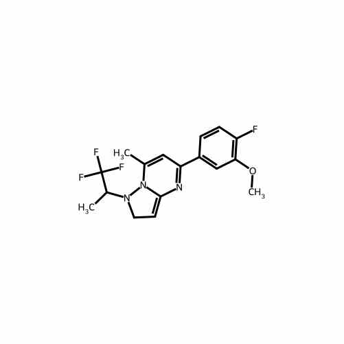 COc1cc(C2=NC3=CCN(C(C)C(F)(F)F)N3C(C)=C2)ccc1F